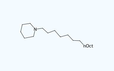 CCCCCCCCCCCCCCCN1CCCCC1